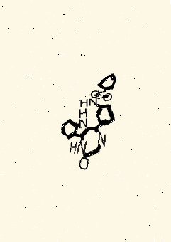 O=C1CN=C(c2cccc(NS(=O)(=O)c3ccccc3)c2)c2[nH]c3ccccc3c2N1